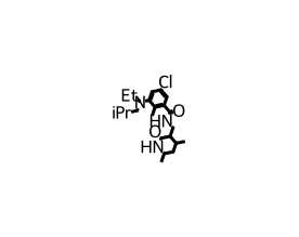 CCN(CC(C)C)c1cc(Cl)cc(C(=O)NCC2C(=O)NC(C)CC2C)c1C